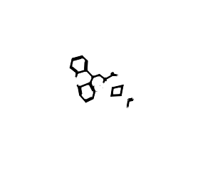 NC(CC1c2ccccc2Oc2ccccc21)(C(=O)O)[C@H]1C[C@@H](C(=O)O)C1